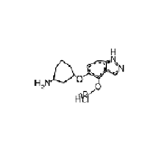 CCCOc1c(OC2CCCC(N)C2)ccc2[nH]ncc12.Cl